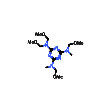 COCN(C)c1nc(N(C)COC)nc(N(COC)COC)n1